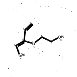 C=CC(=CCCCC)OCCO